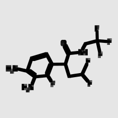 Nc1ccc(C(CC(F)F)C(=O)NCC(F)(F)F)c(F)c1N